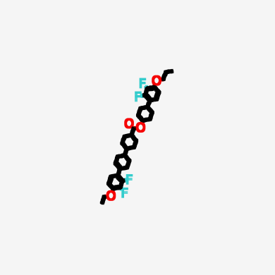 CCCOc1ccc(C2CCC(OC(=O)C3CCC(C4CC=C(c5ccc(OCC)c(F)c5F)CC4)CC3)CC2)c(F)c1F